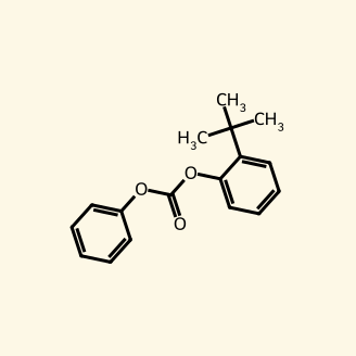 CC(C)(C)c1ccccc1OC(=O)Oc1ccccc1